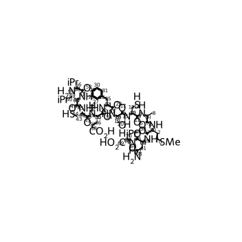 CSCC[C@H](NC(=O)[C@H](C)NC(=O)[C@H](CS)NC(=O)[C@H](CO)NC(=O)[C@H](Cc1ccccc1)NC(=O)[C@H](CCC(=O)O)NC(=O)[C@H](CS)NC(=O)[C@H](CC(C)C)NC(=O)[C@@H](N)C(C)C)C(=O)N[C@@H](CC(N)=O)C(=O)N[C@H](C(=O)O)C(C)C